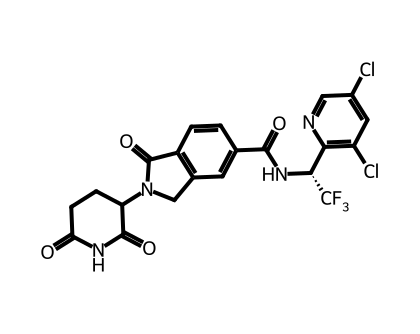 O=C1CCC(N2Cc3cc(C(=O)N[C@H](c4ncc(Cl)cc4Cl)C(F)(F)F)ccc3C2=O)C(=O)N1